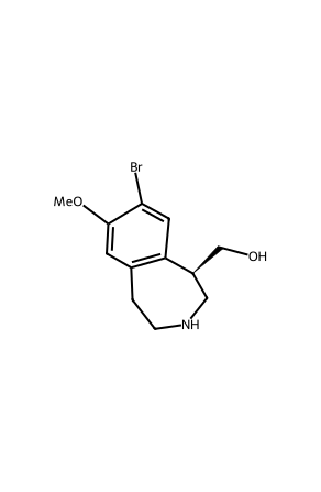 COc1cc2c(cc1Br)[C@@H](CO)CNCC2